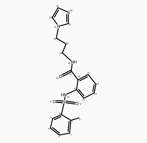 Cc1ccccc1S(=O)(=O)Nc1ccccc1C(=O)NCCCn1ccnc1